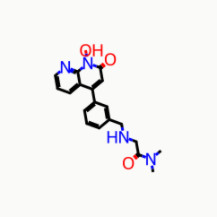 CN(C)C(=O)CNCc1cccc(-c2cc(=O)n(O)c3ncccc23)c1